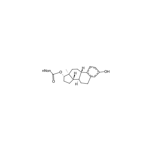 CCCCCCCCCC(=O)O[C@H]1CC[C@H]2[C@@H]3CCc4cc(O)ccc4[C@H]3CC[C@]12C